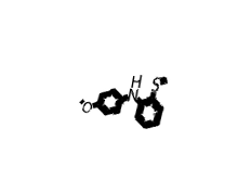 COc1ccc(Nc2ccccc2SC)cc1